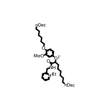 CCCCCCCCCCCCCCCCOc1ccc(OC(CCCCCCCCCCCCCCCC)C(=O)NCc2cccc[n+]2CC)cc1OC.[I-]